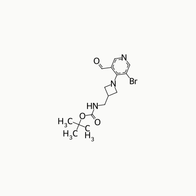 CC(C)(C)OC(=O)NCC1CN(c2c(Br)cncc2C=O)C1